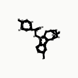 Cc1ccc2c(c1)c1c(n2CC(=O)c2ccc(C)nc2)CC2CCC1N2C